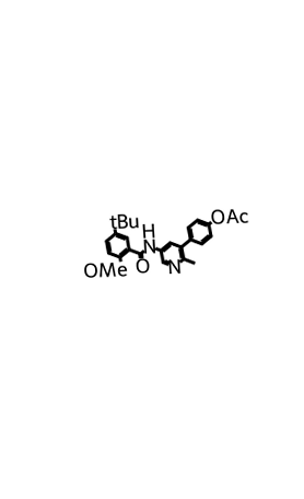 COc1ccc(C(C)(C)C)cc1C(=O)Nc1cnc(C)c(-c2ccc(OC(C)=O)cc2)c1